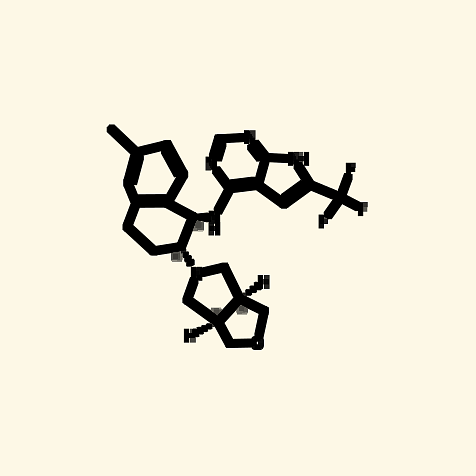 Cc1ccc2c(c1)CC[C@@H](N1C[C@H]3COC[C@H]3C1)[C@@H]2Nc1ncnc2[nH]c(C(F)(F)F)cc12